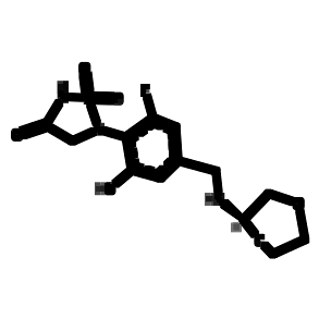 O=C1CN(c2c(O)cc(CN[C@@H]3CCCOC3)cc2F)S(=O)(=O)N1